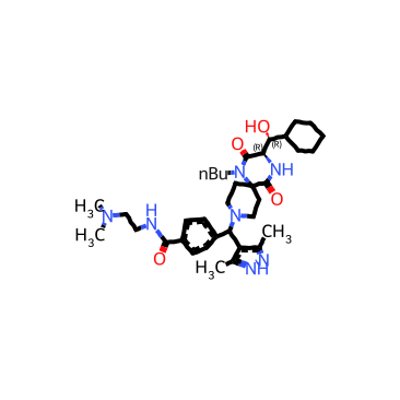 CCCCN1C(=O)[C@@H]([C@H](O)C2CCCCC2)NC(=O)C12CCN(C(c1ccc(C(=O)NCCN(C)C)cc1)c1c(C)n[nH]c1C)CC2